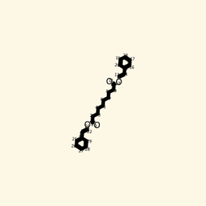 O=C(CCCCCCCCC(=O)OC=Cc1ccccc1)OC=Cc1ccccc1